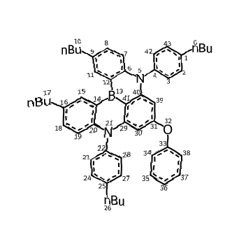 CCCCc1ccc(N2c3ccc(CCCC)cc3B3c4cc(CCCC)ccc4N(c4ccc(CCCC)cc4)c4cc(Oc5ccccc5)cc2c43)cc1